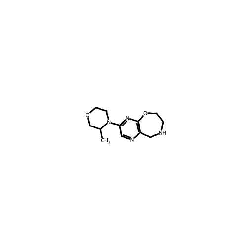 CC1COCCN1c1cnc2c(n1)OCCNC2